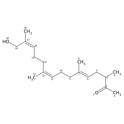 CC(=O)C(C)C/C=C(\C)CC/C=C(/C)CCC=C(C)CO